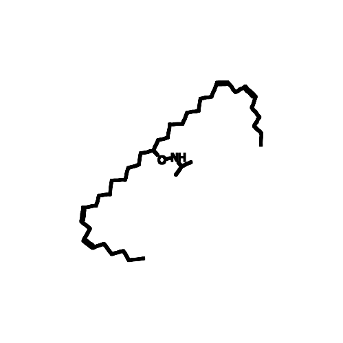 CCCCC/C=C\C/C=C\CCCCCCCCC(CCCCCCCC/C=C\C/C=C\CCCCC)ONC(C)C